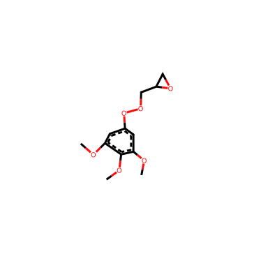 COc1cc(OOCC2CO2)cc(OC)c1OC